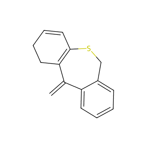 C=C1C2=C(C=CCC2)SCc2ccccc21